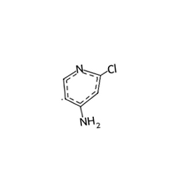 Nc1[c]cnc(Cl)c1